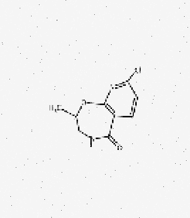 CC1CNC(=O)c2ccc(Cl)nc2O1